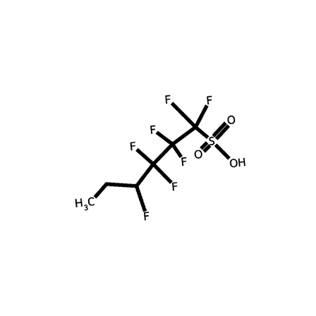 CCC(F)C(F)(F)C(F)(F)C(F)(F)S(=O)(=O)O